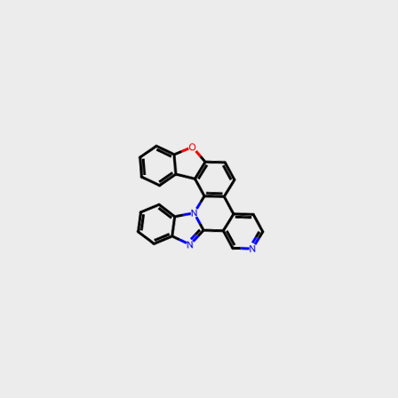 c1ccc2c(c1)nc1c3cnccc3c3ccc4oc5ccccc5c4c3n21